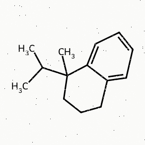 CC(C)C1(C)CCCc2ccccc21